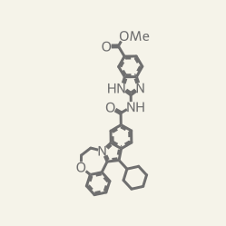 COC(=O)c1ccc2nc(NC(=O)c3ccc4c(C5CCCCC5)c5n(c4c3)CCOc3ccccc3-5)[nH]c2c1